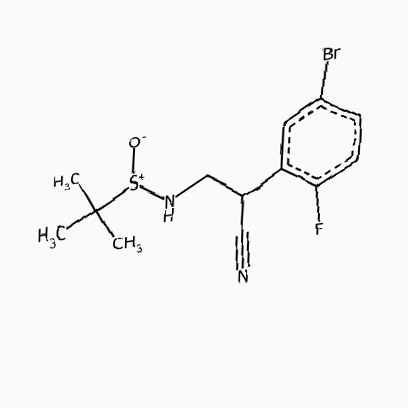 CC(C)(C)[S+]([O-])NCC(C#N)c1cc(Br)ccc1F